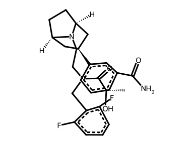 C[C@H](O)C(=O)N(CCN1[C@@H]2CC[C@H]1C[C@@H](c1cccc(C(N)=O)c1)C2)Cc1c(F)cccc1F